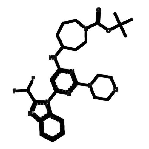 CC(C)(C)OC(=O)N1CCCC(Nc2cc(-n3c(C(F)F)nc4ccccc43)nc(N3CCOCC3)n2)CC1